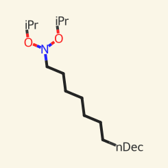 CCCCCCCCCCCCCCCCCN(OC(C)C)OC(C)C